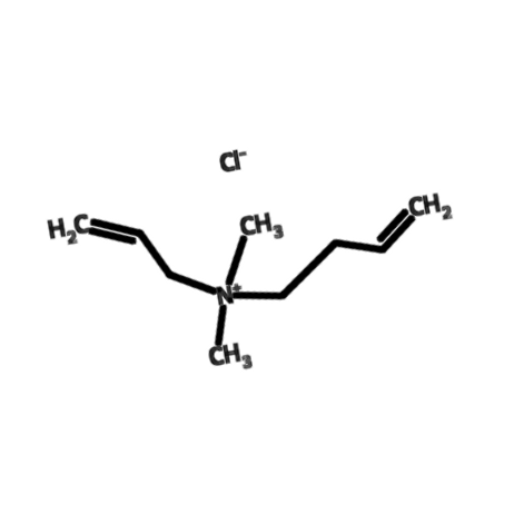 C=CCC[N+](C)(C)CC=C.[Cl-]